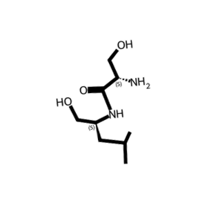 CC(C)C[C@@H](CO)NC(=O)[C@@H](N)CO